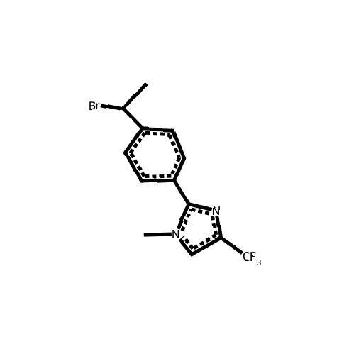 CC(Br)c1ccc(-c2nc(C(F)(F)F)cn2C)cc1